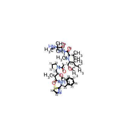 CC[C@H](C)[C@@H]([C@@H](CC(=O)N1CCC[C@H]1[C@H](OC)[C@@H](C)C(=O)N[C@@H](Cc1ccccc1)c1nccs1)OC)N(C)[C@H](C(=O)NC(=O)C(C)(C)NC)C(C)C